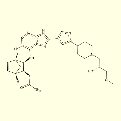 COC[C@H](O)CN1CCC(n2cc(-c3nc4c(N[C@H]5[C@@H](OC(N)=O)[C@@H]6C=C[C@H]5C6)c(Cl)cnc4[nH]3)cn2)CC1